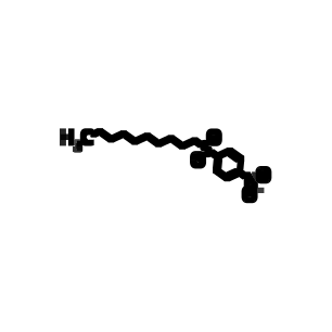 CCCCCCCCCCS(=O)(=O)c1ccc([N+](=O)[O-])cc1